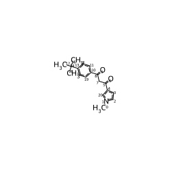 Cn1ccc(C(=O)CC(=O)c2ccc(C(C)(C)C)cc2)c1